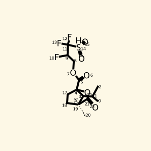 CC(C)C1C2(C(=O)OCC(F)C(F)(F)[SH](=O)=O)CC[C@]1(C)C(=O)O2